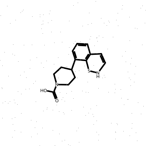 O=C(O)N1CCC(c2cccc3c2SNC=C3)CC1